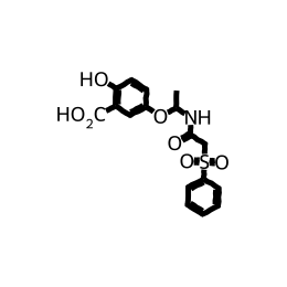 CC(NC(=O)CS(=O)(=O)c1ccccc1)Oc1ccc(O)c(C(=O)O)c1